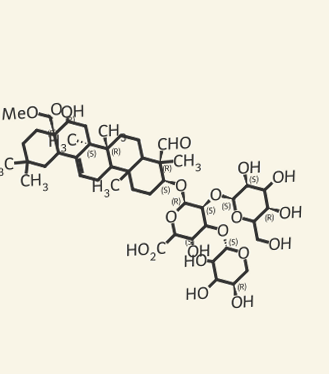 COC(=O)[C@]12CCC(C)(C)CC1C1=CCC3C4(C)CC[C@H](O[C@@H]5OC(C(=O)O)[C@@H](O)C(O[C@@H]6OC[C@@H](O)C(O)C6O)[C@@H]5O[C@@H]5OC(CO)[C@H](O)C(O)[C@@H]5O)[C@](C)(C=O)C4CC[C@@]3(C)[C@]1(C)C[C@H]2O